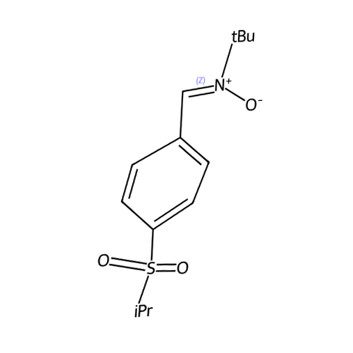 CC(C)S(=O)(=O)c1ccc(/C=[N+](\[O-])C(C)(C)C)cc1